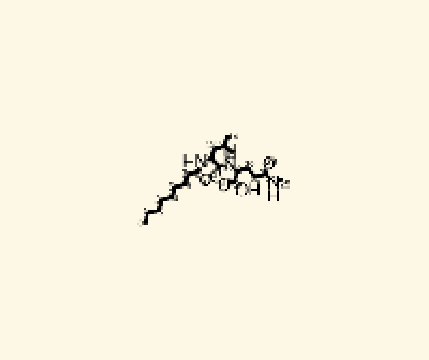 CCCCCCCCC(=O)NC(CC(C)C)C(=O)NC(CCC(=O)NC)C(=O)O